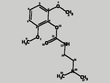 COc1cccc(OC)c1OC(=O)NCCN(C)C